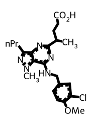 CCCc1nn(C)c2c(NCc3ccc(OC)c(Cl)c3)nc(C(C)CCC(=O)O)nc12